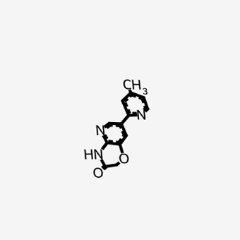 Cc1ccnc(-c2cnc3c(c2)OCC(=O)N3)c1